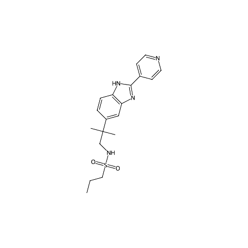 CCCS(=O)(=O)NCC(C)(C)c1ccc2[nH]c(-c3ccncc3)nc2c1